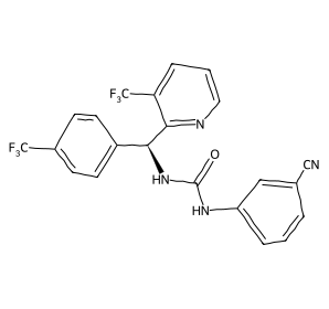 N#Cc1cccc(NC(=O)N[C@@H](c2ccc(C(F)(F)F)cc2)c2ncccc2C(F)(F)F)c1